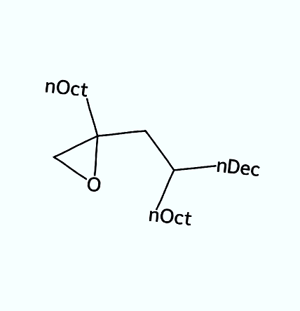 CCCCCCCCCCC(CCCCCCCC)CC1(CCCCCCCC)CO1